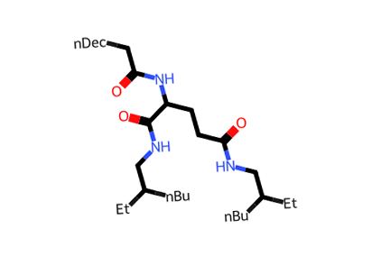 CCCCCCCCCCCC(=O)NC(CCC(=O)NCC(CC)CCCC)C(=O)NCC(CC)CCCC